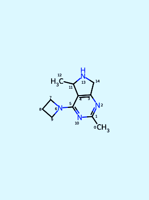 Cc1nc2c(c(N3CCC3)n1)C(C)NC2